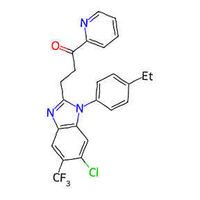 [CH2]Cc1ccc(-n2c(CCC(=O)c3ccccn3)nc3cc(C(F)(F)F)c(Cl)cc32)cc1